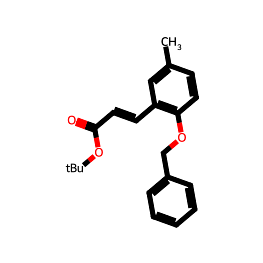 Cc1ccc(OCc2ccccc2)c(C=CC(=O)OC(C)(C)C)c1